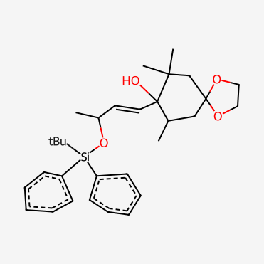 CC(C=CC1(O)C(C)CC2(CC1(C)C)OCCO2)O[Si](c1ccccc1)(c1ccccc1)C(C)(C)C